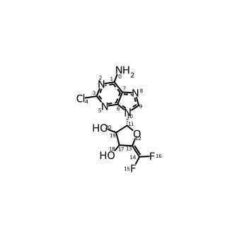 Nc1nc(Cl)nc2c1ncn2[C@@H]1OC(=C(F)F)C(O)C1O